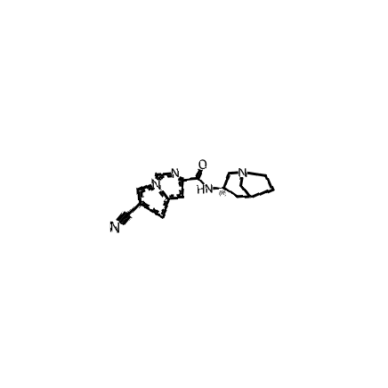 N#Cc1cc2cc(C(=O)N[C@@H]3CC4CCN(C4)C3)ncn2c1